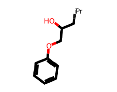 CC(C)CC(O)COc1ccccc1